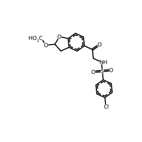 O=C(O)OC1Cc2cc(C(=O)CNS(=O)(=O)c3ccc(Cl)cc3)ccc2O1